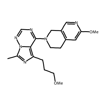 COCCCc1nc(C)n2ncnc(N3CCc4cc(OC)ncc4C3)c12